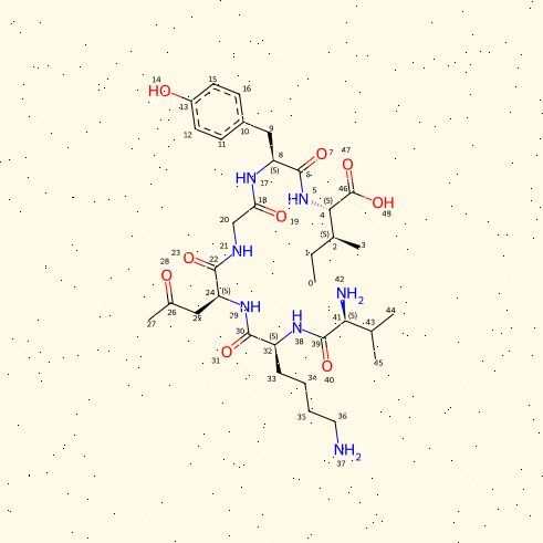 CC[C@H](C)[C@H](NC(=O)[C@H](Cc1ccc(O)cc1)NC(=O)CNC(=O)[C@H](CC(C)=O)NC(=O)[C@H](CCCCN)NC(=O)[C@@H](N)C(C)C)C(=O)O